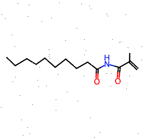 C=C(C)C(=O)NC(=O)CCCCCCCCC